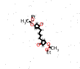 CCOC(C)O[C@H]1C=C(C/C=C/CC2=C[C@H](OC(C)OCC)CC2=O)C(=O)C1